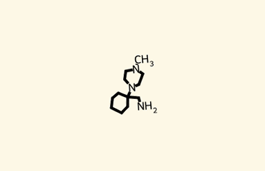 CN1CCN(C2(CN)CCCCC2)CC1